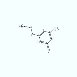 CCCCCCCCc1cc(C)cc(=O)[nH]1